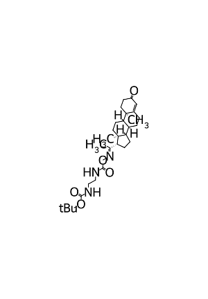 C/C(=N\OC(=O)NCCNC(=O)OC(C)(C)C)[C@H]1CC[C@H]2[C@@H]3CCC4=CC(=O)CC[C@]4(C)[C@H]3CC[C@]12C